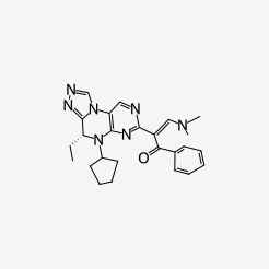 CC[C@@H]1c2nncn2-c2cnc(/C(=C/N(C)C)C(=O)c3ccccc3)nc2N1C1CCCC1